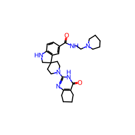 O=C(NCCN1CCCCC1)c1ccc2c(c1)C1(CCN(c3nc4c(c(=O)[nH]3)CCCC4)CC1)CN2